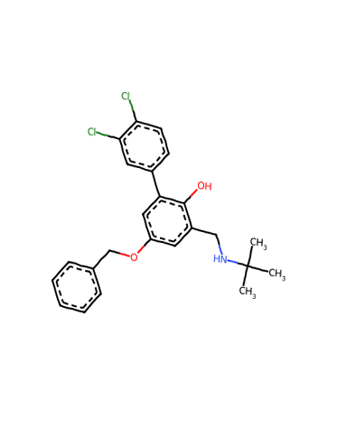 CC(C)(C)NCc1cc(OCc2ccccc2)cc(-c2ccc(Cl)c(Cl)c2)c1O